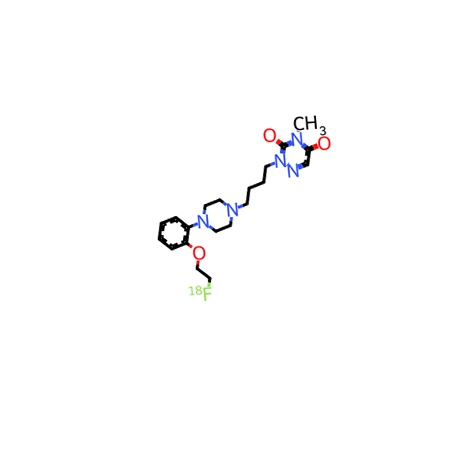 Cn1c(=O)cnn(CCCCN2CCN(c3ccccc3OCC[18F])CC2)c1=O